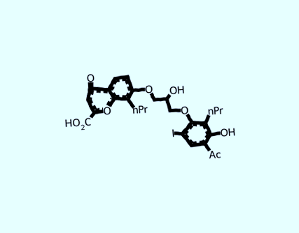 CCCc1c(O)c(C(C)=O)cc(I)c1OCC(O)COc1ccc2c(=O)cc(C(=O)O)oc2c1CCC